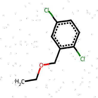 [CH2]COCc1cc(Cl)ccc1Cl